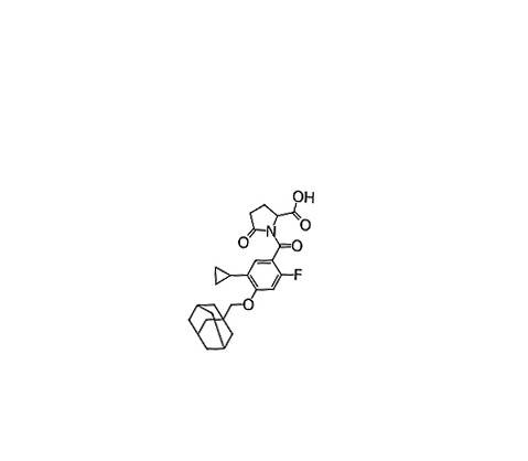 O=C(O)C1CCC(=O)N1C(=O)c1cc(C2CC2)c(OCC23CC4CC(CC(C4)C2)C3)cc1F